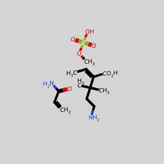 C=CC(N)=O.CC=C(C(=O)O)C(C)(C)CCN.COS(=O)(=O)O